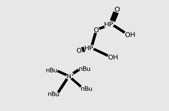 CCCC[N+](CCCC)(CCCC)CCCC.O=[PH](O)O[PH](=O)O